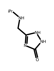 CC(C)NCc1nc(=O)[nH][nH]1